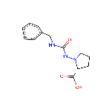 O=C(NCc1ccccc1)NN1CCC[C@@H]1C(=O)O